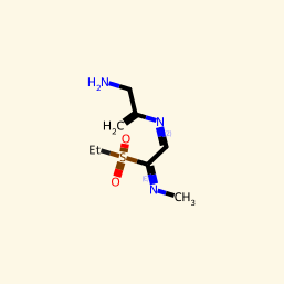 C=C(CN)/N=C\C(=N/C)S(=O)(=O)CC